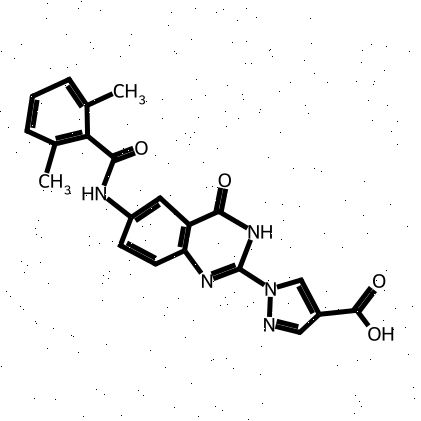 Cc1cccc(C)c1C(=O)Nc1ccc2nc(-n3cc(C(=O)O)cn3)[nH]c(=O)c2c1